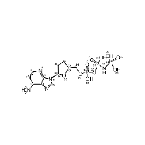 Nc1ncnc2c1ncn2[C@H]1CC[C@@H](COP(=O)(O)OP(=O)(O)NP(=O)(O)O)O1